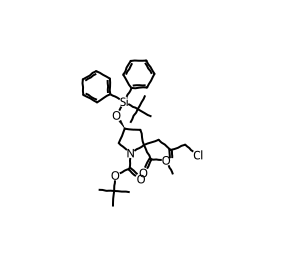 C=C(CCl)CC1(C(=O)OC)C[C@H](O[Si](c2ccccc2)(c2ccccc2)C(C)(C)C)CN1C(=O)OC(C)(C)C